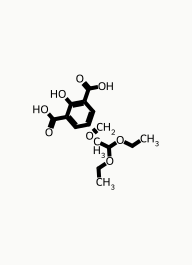 C=O.CCOC(C)OCC.O=C(O)c1cccc(C(=O)O)c1O